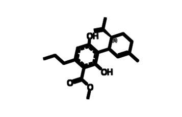 C=C(C)[C@H]1CCC(C)=CC1c1c(O)cc(CCC)c(C(=O)OC)c1O